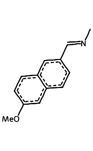 C/N=C/c1ccc2cc(OC)ccc2c1